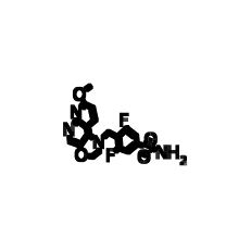 COc1ccc2c3c(cnc2n1)OCCN3Cc1c(F)cc(S(N)(=O)=O)cc1F